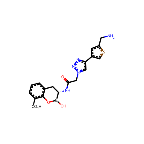 NCc1cc(-c2cn(CC(=O)N[C@H]3Cc4cccc(C(=O)O)c4OB3O)nn2)cs1